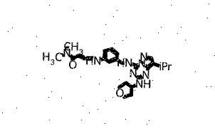 CC(C)c1cnn2c(NCc3cccc(NCC=CC(=O)N(C)C)c3)nc(NC3CCOCC3)nc12